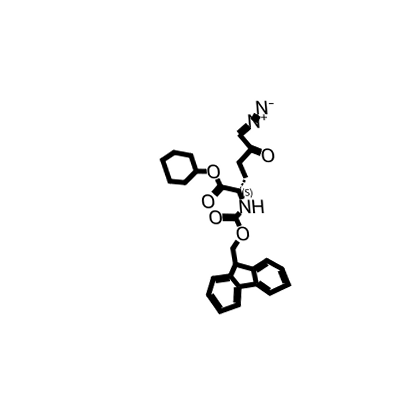 [N-]=[N+]=CC(=O)CC[C@H](NC(=O)OCC1c2ccccc2-c2ccccc21)C(=O)OC1CCCCC1